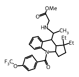 CCC1(CC)CCC2C1C(C(C)NCC(=O)OC)c1ccccc1N2C(=O)c1ccc(OC(F)(F)F)cc1